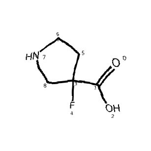 O=C(O)C1(F)C[CH]NC1